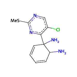 CSc1ncc(Cl)c(C2(N)C=CC=CC2N)n1